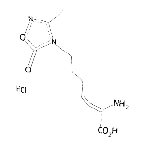 Cc1noc(=O)n1CCCC=C(N)C(=O)O.Cl